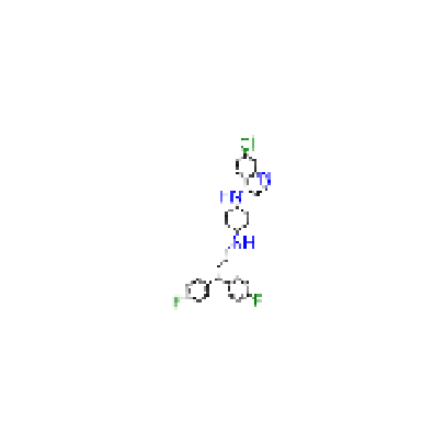 Fc1ccc(C(CCCNC2CCC(Nc3ccnc4cc(Cl)ccc34)CC2)c2ccc(F)cc2)cc1